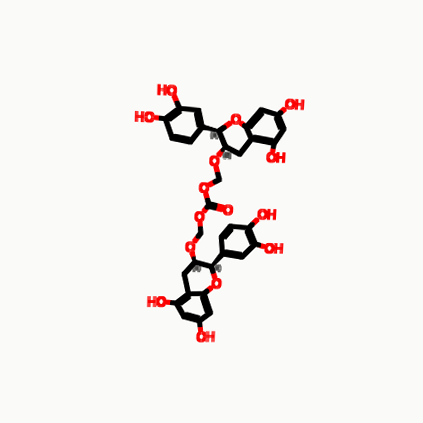 O=C(OCO[C@@H]1Cc2c(O)cc(O)cc2O[C@@H]1c1ccc(O)c(O)c1)OCO[C@@H]1Cc2c(O)cc(O)cc2O[C@@H]1c1ccc(O)c(O)c1